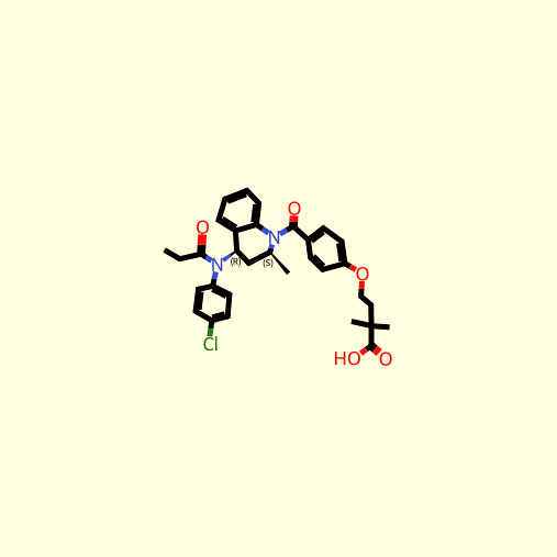 CCC(=O)N(c1ccc(Cl)cc1)[C@@H]1C[C@H](C)N(C(=O)c2ccc(OCCC(C)(C)C(=O)O)cc2)c2ccccc21